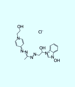 CC(N=NCC(O)[n+]1cn(O)c2ccccc21)=NN=c1ccn(CCO)cc1.[Cl-]